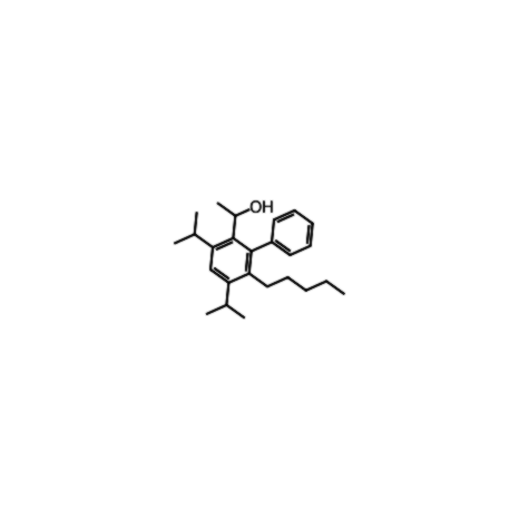 CCCCCc1c(C(C)C)cc(C(C)C)c(C(C)O)c1-c1ccccc1